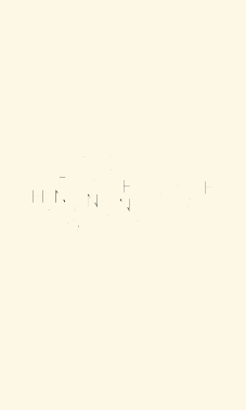 CCc1ccc(N(C(N)=O)c2c(F)cccc2F)nc1-c1ccc(F)cc1C